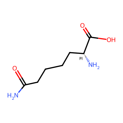 NC(=O)CCCC[C@@H](N)C(=O)O